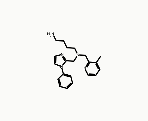 Cc1cccnc1CN(CCCCN)Cc1nccn1-c1ccccc1